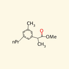 CCCc1cc(C)cc(C(C)C(=O)OC)c1